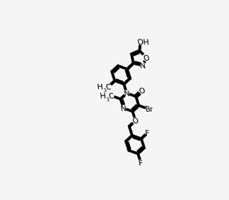 Cc1ccc(-c2cc(O)on2)cc1-n1c(C)nc(OCc2ccc(F)cc2F)c(Br)c1=O